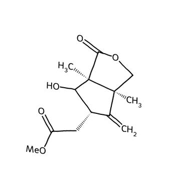 C=C1[C@H](CC(=O)OC)C(O)[C@@]2(C)C(=O)OC[C@@]12C